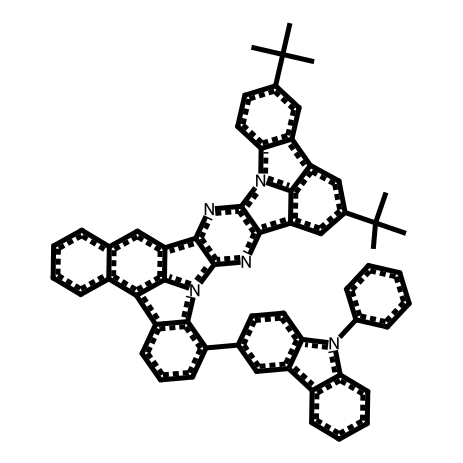 CC(C)(C)c1ccc2c(c1)c1cc(C(C)(C)C)cc3c4nc5c(nc4n2c13)c1cc2ccccc2c2c3cccc(-c4ccc6c(c4)c4ccccc4n6-c4ccccc4)c3n5c12